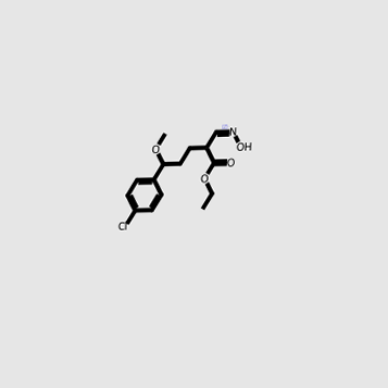 CCOC(=O)C(/C=N\O)CCC(OC)c1ccc(Cl)cc1